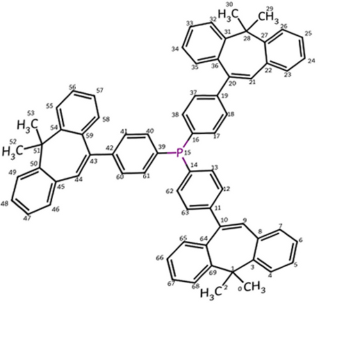 CC1(C)c2ccccc2C=C(c2ccc(P(c3ccc(C4=Cc5ccccc5C(C)(C)c5ccccc54)cc3)c3ccc(C4=Cc5ccccc5C(C)(C)c5ccccc54)cc3)cc2)c2ccccc21